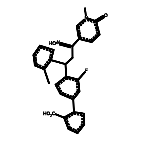 Cc1ccccc1C(C/C(=N\O)c1ccc(=O)n(C)c1)c1ccc(-c2ccccc2C(=O)O)cc1F